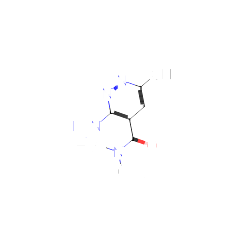 Cc1cc(C(=O)N(C)C)c(N)nn1